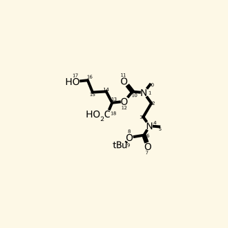 CN(CCN(C)C(=O)OC(C)(C)C)C(=O)OC(CCCO)C(=O)O